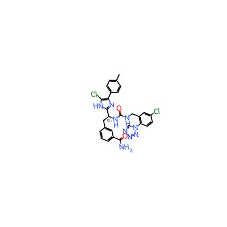 Cc1ccc(-c2nc([C@H](Cc3cccc(C(N)=O)c3)NC(=O)NCc3cc(Cl)ccc3-n3cnnn3)[nH]c2Cl)cc1